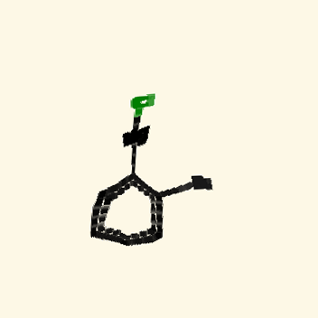 CCC(C)c1cccc[c]1[Mg][Cl]